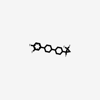 Fc1ccc(C2CCC(C3CCC(C4(F)CC4(F)F)CC3)CC2)cc1F